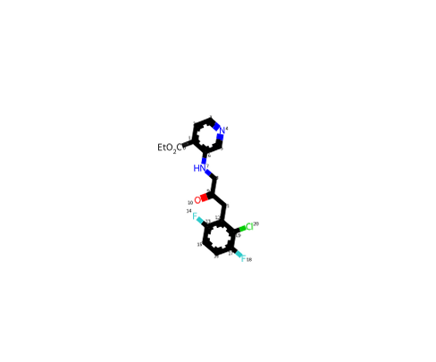 CCOC(=O)c1ccncc1NCC(=O)Cc1c(F)ccc(F)c1Cl